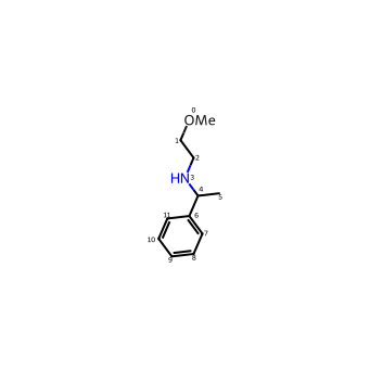 COCCNC(C)c1ccccc1